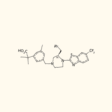 Cc1cc(CN2CCN(c3nc4ccc(C(F)(F)F)cc4s3)[C@H](CC(C)C)C2)cc(C(C)(C)C(=O)O)c1